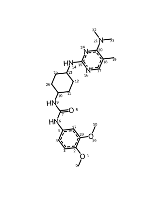 COc1ccc(NC(=O)NC2CCC(Nc3ncc(C)c(N(C)C)n3)CC2)cc1OC